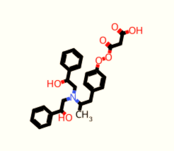 CC(Cc1ccc(OOC(=O)CC(=O)O)cc1)N(CC(O)c1ccccc1)CC(O)c1ccccc1